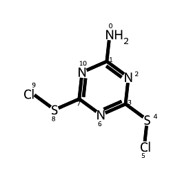 Nc1nc(SCl)nc(SCl)n1